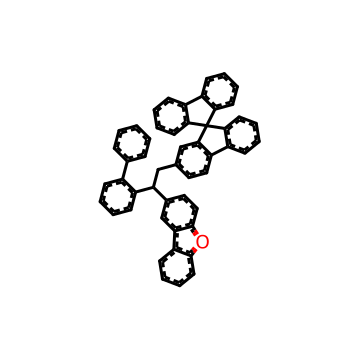 c1ccc(-c2ccccc2C(Cc2ccc3c(c2)C2(c4ccccc4-c4ccccc42)c2ccccc2-3)c2ccc3oc4ccccc4c3c2)cc1